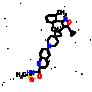 Cc1cccc(C)c1-c1noc(C2CC2)c1C1=CC2(CCN(c3ccc4nc(C(=O)N[S+](C)[O-])ccc4c3)CC2)C1